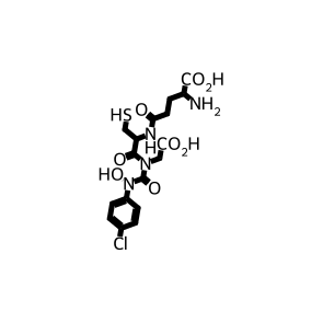 NC(CCC(=O)NC(CS)C(=O)N(CC(=O)O)C(=O)N(O)c1ccc(Cl)cc1)C(=O)O